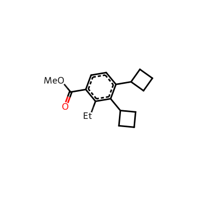 CCc1c(C(=O)OC)ccc(C2CCC2)c1C1CCC1